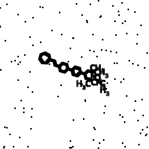 CCON1C(C)(C)CC(c2ccc(C3CCC(/C=C/C4=CC=CCC=C4)CC3)cc2)CC1(C)C